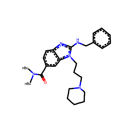 CCCCN(CCCC)C(=O)c1ccc2nc(NCc3ccccc3)n(CCCN3CCCCC3)c2c1